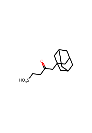 O=C(CCS(=O)(=O)O)CC12CC3CC(CC(C3)C1)C2